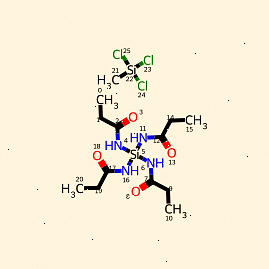 CCC(=O)N[Si](NC(=O)CC)(NC(=O)CC)NC(=O)CC.C[Si](Cl)(Cl)Cl